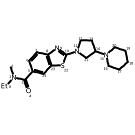 CCN(C)C(=O)c1ccc2nc(N3CCC(N4CCCCC4)C3)sc2c1